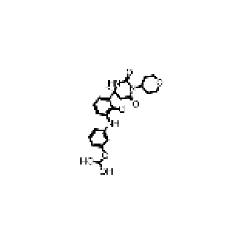 C[C@@]1(c2cccc(Nc3cccc(OC(O)O)c3)c2Cl)CC(=O)N(C2CCOCC2)C(=O)N1